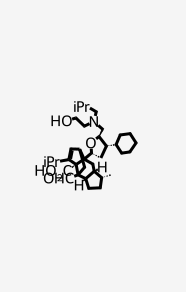 CC(C)CN(CCO)C[C@@H]1O[C@@H](C23C[C@@H]4[C@H](C)CC[C@H]4C4(C=O)CC2C=C(C(C)C)[C@]43C(=O)O)C[C@H]1C1CCCCC1